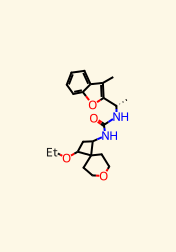 CCOC1CC(NC(=O)N[C@@H](C)c2oc3ccccc3c2C)C12CCOCC2